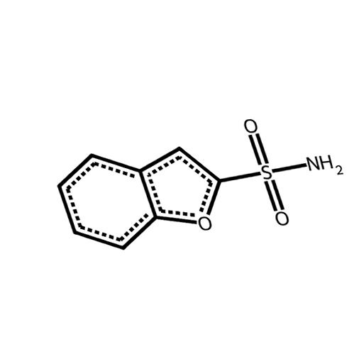 NS(=O)(=O)c1cc2ccccc2o1